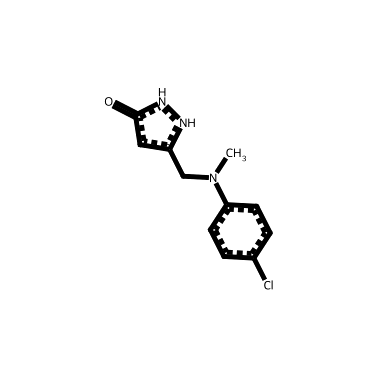 CN(Cc1cc(=O)[nH][nH]1)c1ccc(Cl)cc1